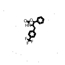 O=C1NC(Cc2ccc(C(F)(F)F)cc2)C(c2ccccc2)O1